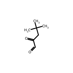 CC(C)(C)CC(=O)C=O